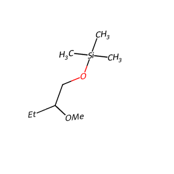 CCC(CO[Si](C)(C)C)OC